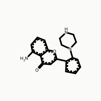 Nc1cccc2oc(-c3ccccc3N3CCNCC3)cc(=O)c12